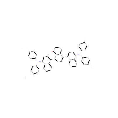 Cc1ccc(N(c2ccc(C)cc2)c2ccc(-c3ccc4c5c(cccc35)Oc3cc(N(c5ccc(C)cc5)c5ccc(C)cc5)c5ccccc5c3-4)c3ccccc23)cc1